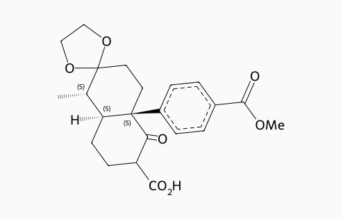 COC(=O)c1ccc([C@]23CCC4(OCCO4)[C@@H](C)[C@@H]2CCC(C(=O)O)C3=O)cc1